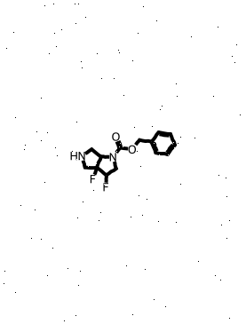 O=C(OCc1ccccc1)N1CC(F)C2(F)CNCC12